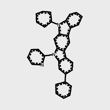 c1ccc(-c2ccc3c4cc5c6ccccc6n(-c6ccccc6)c5cc4n(-c4ccccn4)c3c2)cc1